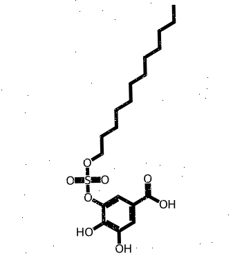 CCCCCCCCCCCCOS(=O)(=O)Oc1cc(C(=O)O)cc(O)c1O